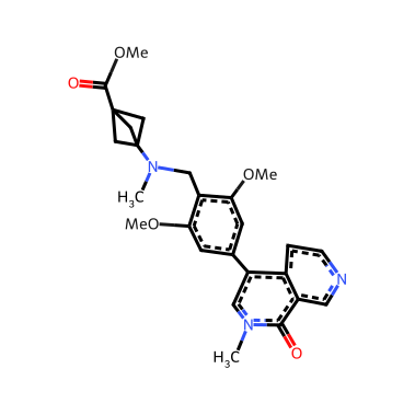 COC(=O)C12CC(N(C)Cc3c(OC)cc(-c4cn(C)c(=O)c5cnccc45)cc3OC)(C1)C2